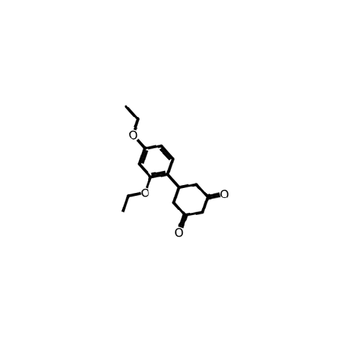 CCOc1ccc(C2CC(=O)CC(=O)C2)c(OCC)c1